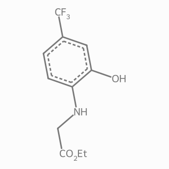 CCOC(=O)CNc1ccc(C(F)(F)F)cc1O